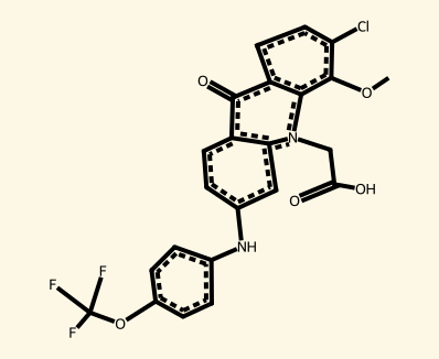 COc1c(Cl)ccc2c(=O)c3ccc(Nc4ccc(OC(F)(F)F)cc4)cc3n(CC(=O)O)c12